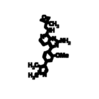 COc1cc(-c2cnn(C)c2C)ccc1-c1nc(N)nc2c(NCC3(C)COC3)nccc12